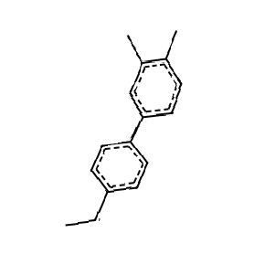 C[CH]c1ccc(-c2ccc(C)c(C)c2)cc1